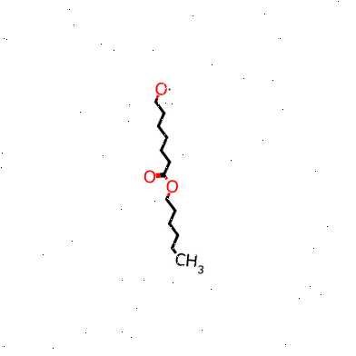 CCCCCCOC(=O)CCCCCC[O]